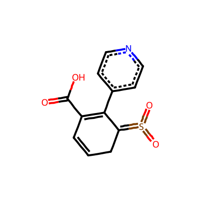 O=C(O)C1=C(c2ccncc2)C(=S(=O)=O)CC=C1